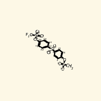 CS(=O)(=O)Oc1ccc(S(=O)(=O)c2ccc(OS(=O)(=O)C(F)(F)F)cc2)cc1